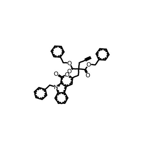 C#CCC(Cc1cc2c3ccccc3n(Cc3ccccc3)c2c(=O)o1)(C(=O)OCc1ccccc1)C(=O)OCc1ccccc1